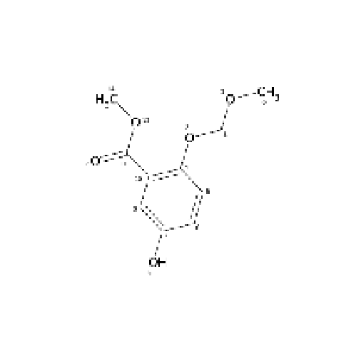 COCOc1ccc(O)cc1C(=O)OC